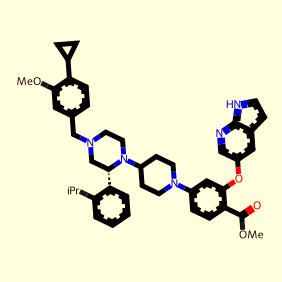 COC(=O)c1ccc(N2CCC(N3CCN(Cc4ccc(C5CC5)c(OC)c4)C[C@H]3c3ccccc3C(C)C)CC2)cc1Oc1cnc2[nH]ccc2c1